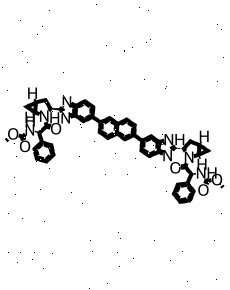 COC(=O)N[C@H](C(=O)N1[C@@H]2C[C@@H]2C[C@H]1c1nc2ccc(-c3ccc4cc(-c5ccc6nc([C@@H]7C[C@H]8C[C@H]8N7C(=O)[C@H](NC(=O)OC)c7ccccc7)[nH]c6c5)ccc4c3)cc2[nH]1)c1ccccc1